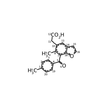 Cc1ccc(C(=O)c2c(C)c(CC(=O)O)cc3ccoc23)cc1